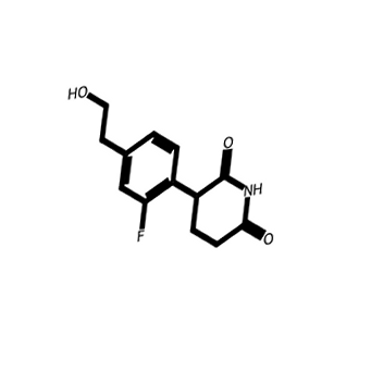 O=C1CCC(c2ccc(CCO)cc2F)C(=O)N1